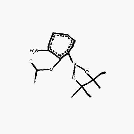 CC1(C)OB(c2cccc(N)c2OC(F)F)OC1(C)C